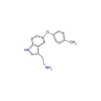 Cc1ccc(Oc2ccc3[nH]cc(CCN)c3c2)cc1